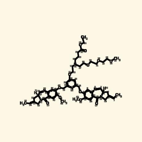 C/C=C1\C[C@H]2C=Nc3cc(OCc4cc(OCCN(CCCC(=O)OCC)CCOCCOCCOC)cc(COc5cc6c(cc5OC)C(=O)N5C/C(=C/C)C[C@H]5C=N6)n4)c(OC)cc3C(=O)N2C1